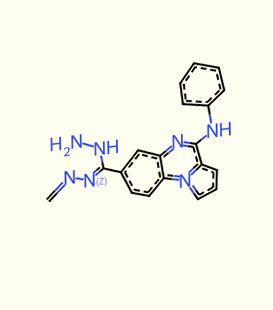 C=N/N=C(\NN)c1ccc2c(c1)nc(Nc1ccccc1)c1cccn12